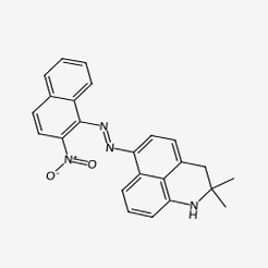 CC1(C)Cc2ccc(N=Nc3c([N+](=O)[O-])ccc4ccccc34)c3cccc(c23)N1